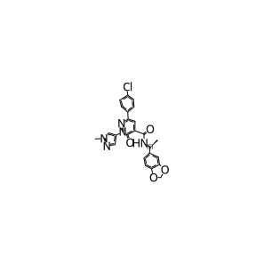 C[C@H](NC(=O)c1cc(-c2ccc(Cl)cc2)nn(-c2cnn(C)c2)c1=O)c1ccc2c(c1)OCO2